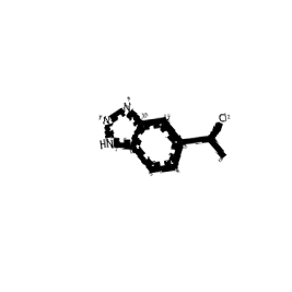 CC(Cl)c1ccc2[nH]nnc2c1